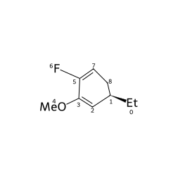 CC[C@H]1C=C(OC)C(F)=CC1